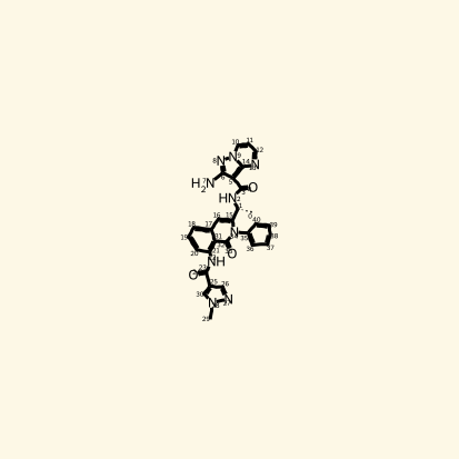 C[C@@H](NC(=O)c1c(N)nn2cccnc12)c1cc2cccc(NC(=O)c3cnn(C)c3)c2c(=O)n1-c1ccccc1